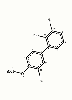 CCCCCCCCOc1ccc(-c2cccc(F)c2F)cc1F